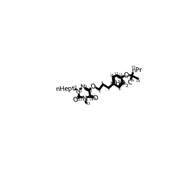 CCCCCCCn1nc(OCCCc2ccc(OC(C)(CCC)C(=O)O)cc2)c(=O)n(C)c1=O